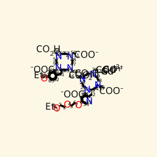 CCOCCOCCOc1ccc(C[C@H]2CN(CC(=O)[O-])CCN(CC(=O)[O-])CCN(CC(=O)O)CCN2CC(=O)[O-])nc1.CCOc1ccc(CC2CN(CC(=O)[O-])CCN(CC(=O)[O-])CCN(CC(=O)O)CCN2CC(=O)[O-])cc1.[Gd+3].[Gd+3]